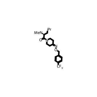 CN[C@@H](CC(C)C)C(=O)N1CCC(=NOCc2ccc(C(F)(F)F)cc2)CC1